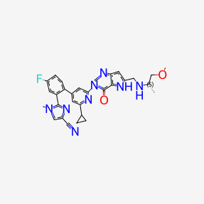 COC[C@H](C)NCc1cc2ncn(-c3cc(-c4ccc(F)cc4-c4nc(C#N)cn4C)cc(C4CC4)n3)c(=O)c2[nH]1